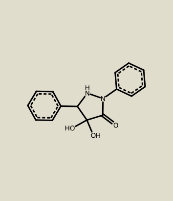 O=C1N(c2ccccc2)NC(c2ccccc2)C1(O)O